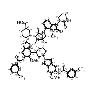 COc1cc2nn([C@@H]3CC[C@@H](CN4C[C@H]5C[C@@H]4CN5c4cccc5c4n(C)c(=O)n5C4CCCNC4=O)C(c4c(OC)c(NC(=O)c5cccc(C(F)(F)F)n5)cc5oc([C@H]6CC[C@H](CO)CC6)nc45)C3)cc2cc1NC(=O)c1cccc(C(F)(F)F)n1